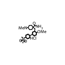 CNC1CCC(Cc2cc(-c3ccc(N(C)S(C)(=O)=O)cc3)ccc2OC)(C(N)=O)CC1.Cl